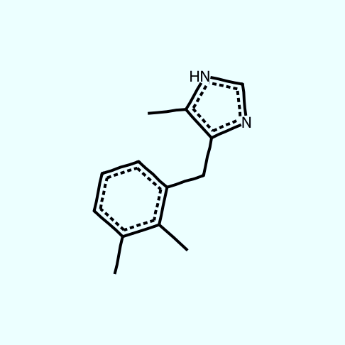 Cc1cccc(Cc2nc[nH]c2C)c1C